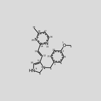 COc1ccc(CN2CNC=C2/C=C/c2nccc(C)n2)cc1